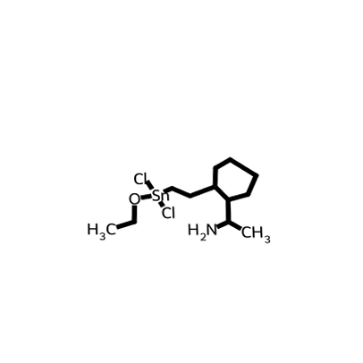 CC[O][Sn]([Cl])([Cl])[CH2]CC1CCCCC1C(C)N